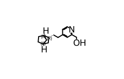 OCc1cc(CC[C@@H]2C[C@H]3CC[C@@H]2C3)ccn1